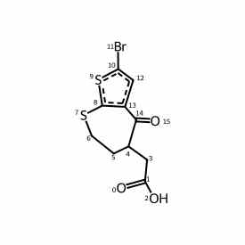 O=C(O)CC1CCSc2sc(Br)cc2C1=O